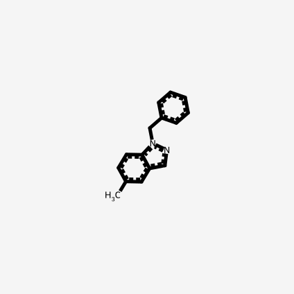 Cc1ccc2c(cnn2Cc2ccccc2)c1